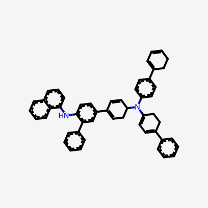 C1=CCCC(c2ccc(N(C3=CC=C(c4ccccc4)CC3)C3C=CC(c4ccc(Nc5cccc6ccccc56)c(-c5ccccc5)c4)=CC3)cc2)=C1